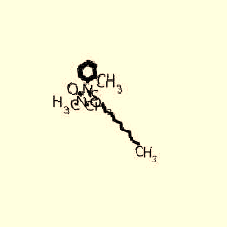 CCCCCCCCCCOSN(C(=O)N(C)C)c1ccccc1C